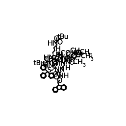 Cc1c(C)c(S(=O)(=O)NC(=N)NCCC[C@H](NC(=O)OCC2c3ccccc3-c3ccccc32)C(=O)N[C@@H](CSC(c2ccccc2)(c2ccccc2)c2ccccc2)C(=O)N[C@H](C(=O)N[C@@H](CCCCNC(=O)OC(C)(C)C)C(=O)N[C@@H](CO)C(=O)O)[C@@H](C)OC(C)(C)C)c(C)c2c1OC(C)(C)C2